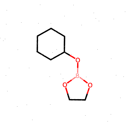 C1CCC(OB2OCCO2)CC1